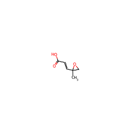 CC1(C=CC(=O)O)CO1